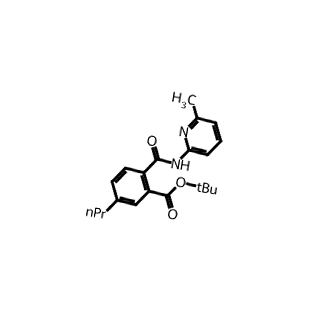 CCCc1ccc(C(=O)Nc2cccc(C)n2)c(C(=O)OC(C)(C)C)c1